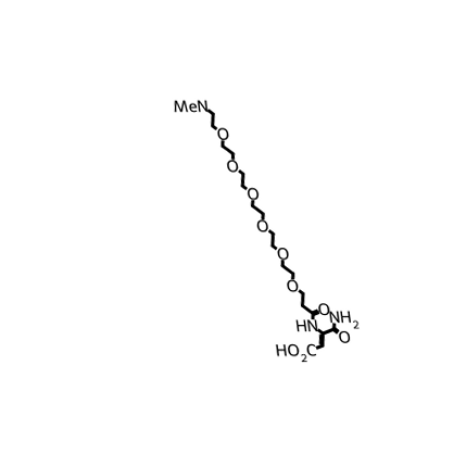 CNCCOCCOCCOCCOCCOCCOCCC(=O)N/C(=C\C(=O)O)C(N)=O